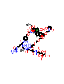 CCCC1O[C@@H]2C[C@H]3[C@@H]4C[C@H](F)C5=CC(=O)C=C[C@]5(C)[C@@]4(F)[C@@H](O)C[C@]3(C)[C@]2(C(=O)CNC(=O)OCc2ccc(NC(=O)[C@H](CCCNC(N)=O)NC(=O)[C@@H](NC(=O)[C@@H](CCC(=O)NC[C@H](O)[C@@H](O)[C@H](O)[C@H](O)CO)NC(=O)CCOCCOCCOCCOCCN3C(=O)C=CC3=O)C(C)C)cc2)O1